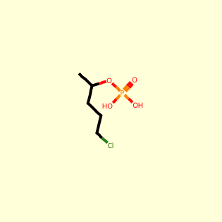 CC(CCCCl)OP(=O)(O)O